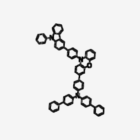 c1ccc(-c2ccc(N(c3ccc(-c4ccccc4)cc3)c3ccc(-c4ccc5c(c4)Oc4ccccc4N5c4ccc(-c5ccc6c(c5)c5ccccc5n6-c5ccccc5)cc4)cc3)cc2)cc1